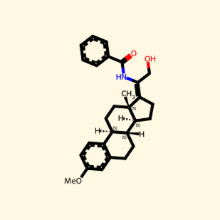 COc1ccc2c(c1)CC[C@@H]1[C@@H]2CC[C@]2(C)C(=C(CO)NC(=O)c3ccccc3)CC[C@@H]12